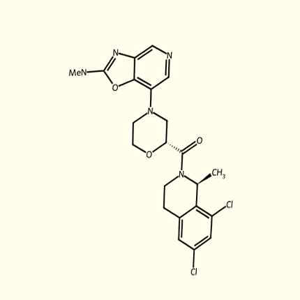 CNc1nc2cncc(N3CCO[C@@H](C(=O)N4CCc5cc(Cl)cc(Cl)c5[C@@H]4C)C3)c2o1